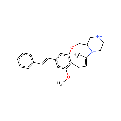 COc1cc(/C=C/c2ccccc2)cc2c1C/C=C(\C)N1CCNCC1CO2